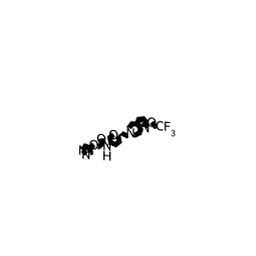 Cn1cc(OCC(=O)N[C@H]2CC[C@H](CCN3CCc4ccc(OCC(F)(F)F)nc4CC3)OC2)cn1